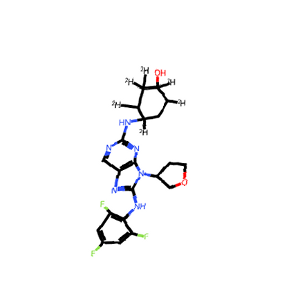 [2H]C1C([2H])(Nc2ncc3nc(Nc4c(F)cc(F)cc4F)n(C4CCOC4)c3n2)CC([2H])C([2H])(O)C1([2H])[2H]